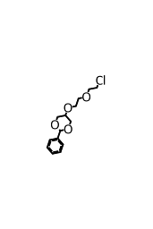 ClCCOCCOC1COC(c2ccccc2)OC1